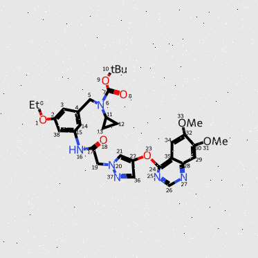 CCOc1cc(CN(C(=O)OC(C)(C)C)C2CC2)cc(NC(=O)Cn2cc(Oc3ncnc4cc(OC)c(OC)cc34)cn2)c1